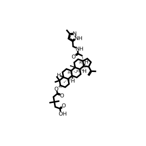 C=C(C)C1CC[C@]2(CC(=O)NCc3cc(C)n[nH]3)CC[C@]3(C)[C@H](CC[C@@H]4[C@@]5(C)CC[C@H](OC(=O)CC(C)(C)CC(=O)O)C(C)(C)[C@@H]5CC[C@]43C)[C@@H]12